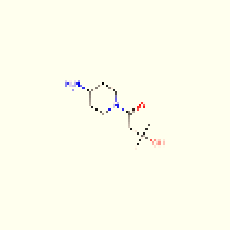 CC(C)(O)CC(=O)N1CCC(N)CC1